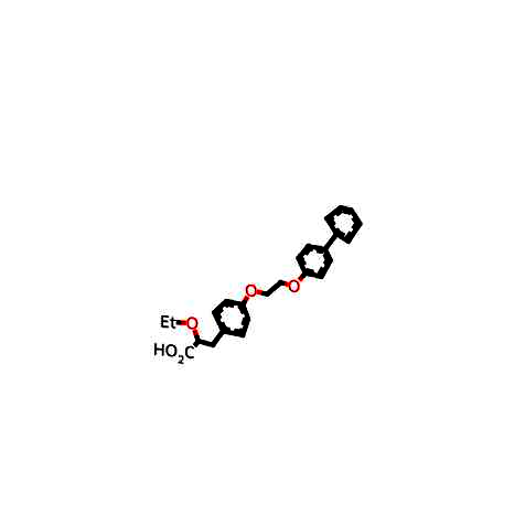 CCOC(Cc1ccc(OCCOc2ccc(-c3ccccc3)cc2)cc1)C(=O)O